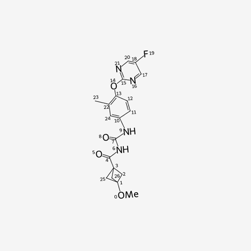 COC12CC(C(=O)NC(=O)Nc3ccc(Oc4ncc(F)cn4)c(C)c3)(C1)C2